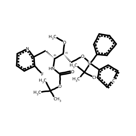 CO[C@H](CO[Si](c1ccccc1)(c1ccccc1)C(C)(C)C)[C@@H](Cc1ncccc1F)NC(=O)OC(C)(C)C